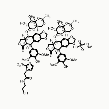 COc1cc([C@@H]2c3cc4c(cc3[C@@H](O[C@@H]3O[C@@H]5CO[C@@H](C)O[C@H]5[C@H](O)[C@H]3O)[C@H]3COC(=O)[C@H]23)OCO4)cc(OC)c1O.COc1cc([C@@H]2c3cc4c(cc3[C@@H](O[C@@H]3O[C@@H]5CO[C@@H](C)O[C@H]5[C@H](O)[C@H]3O)[C@H]3COC(=O)[C@H]23)OCO4)cc(OC)c1O.O=C(Cn1ccnc1[N+](=O)[O-])NCCO.O=P([O-])(O)O.[Na+]